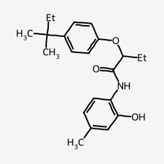 CCC(Oc1ccc(C(C)(C)CC)cc1)C(=O)Nc1ccc(C)cc1O